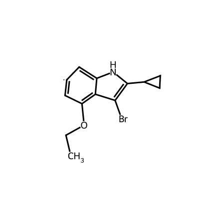 CCOc1c[c]cc2[nH]c(C3CC3)c(Br)c12